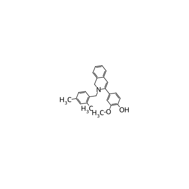 COc1cc(C2=Cc3ccccc3CN2Cc2ccc(C)cc2C)ccc1O